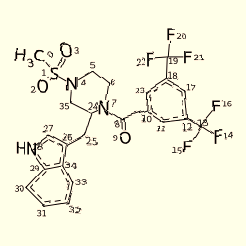 CS(=O)(=O)N1CCN(C(=O)c2cc(C(F)(F)F)cc(C(F)(F)F)c2)C(Cc2c[nH]c3ccccc23)C1